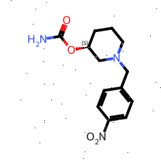 NC(=O)O[C@H]1CCCN(Cc2ccc([N+](=O)[O-])cc2)C1